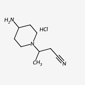 CC(CC#N)N1CCC(N)CC1.Cl